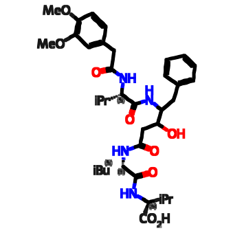 CC[C@H](C)[C@H](NC(=O)CC(O)C(Cc1ccccc1)NC(=O)[C@@H](NC(=O)Cc1ccc(OC)c(OC)c1)C(C)C)C(=O)N[C@H](C(=O)O)C(C)C